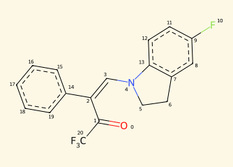 O=C(/C(=C\N1CCc2cc(F)ccc21)c1ccccc1)C(F)(F)F